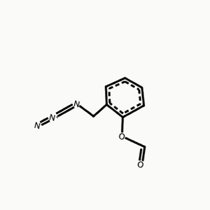 [N-]=[N+]=NCc1ccccc1OC=O